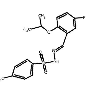 Cc1ccc(S(=O)(=O)NN=Cc2cc(F)ccc2OC(C)C)cc1